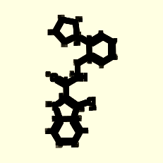 O=C(NCc1ccccc1N1CCCC1)c1sc2ccccc2c1Cl